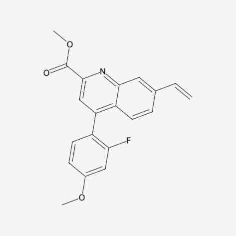 C=Cc1ccc2c(-c3ccc(OC)cc3F)cc(C(=O)OC)nc2c1